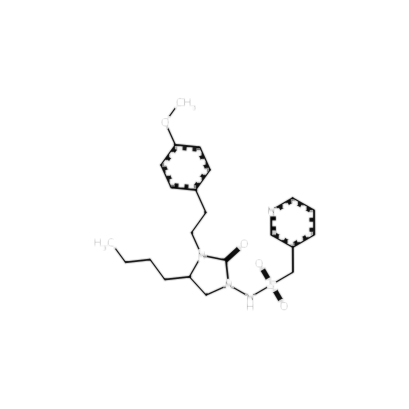 CCCCC1CN(NS(=O)(=O)Cc2cccnc2)C(=O)N1CCc1ccc(OC)cc1